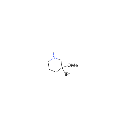 COC1(C(C)C)CCCN(C)C1